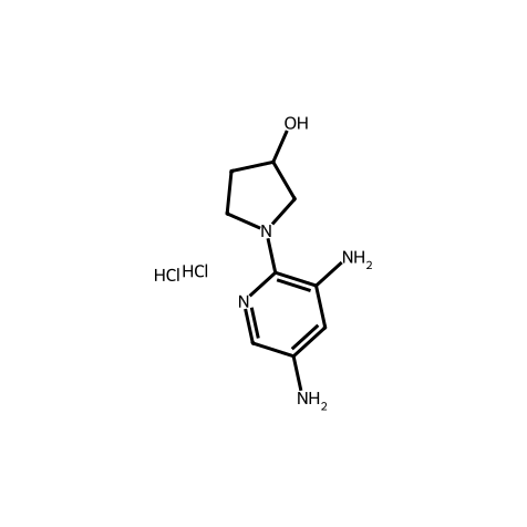 Cl.Cl.Nc1cnc(N2CCC(O)C2)c(N)c1